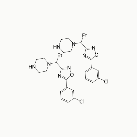 CCC(c1noc(-c2cccc(Cl)c2)n1)N1CCNCC1.CCC(c1noc(-c2cccc(Cl)c2)n1)N1CCNCC1